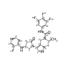 C[C@H]1Cn2ncc(N3CC(Nc4ncncc4F)CC3=O)c2CN1C(=O)Nc1cc(F)c(F)c(F)c1